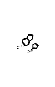 C1=Cc2ccccc2C1.[Cl-].[Cl-].[Zr+2][C]1=CC=CC1